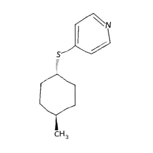 C[C@H]1CC[C@H](Sc2ccncc2)CC1